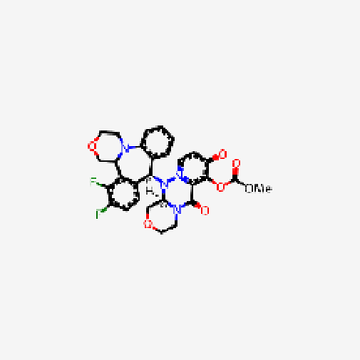 COC(=O)Oc1c2n(ccc1=O)N([C@@H]1c3ccccc3N3CCOCC3c3c1ccc(F)c3F)[C@@H]1COCCN1C2=O